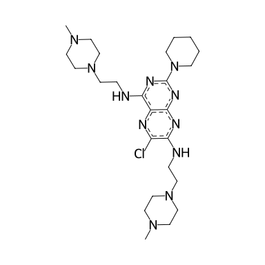 CN1CCN(CCNc2nc3nc(N4CCCCC4)nc(NCCN4CCN(C)CC4)c3nc2Cl)CC1